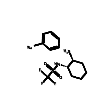 Cc1ccccc1.N[C@H]1CCCC[C@@H]1NS(=O)(=O)C(F)(F)F.[Ru]